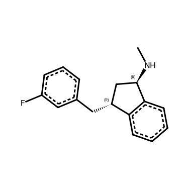 CN[C@@H]1C[C@@H](Cc2cccc(F)c2)c2ccccc21